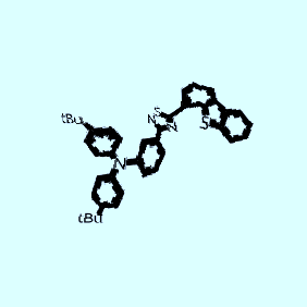 CC(C)(C)c1ccc(N(c2ccc(C(C)(C)C)cc2)c2cccc(-c3nsc(-c4cccc5c4sc4ccccc45)n3)c2)cc1